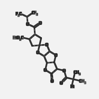 CCOC(=O)C1CC2(CC1C(=O)OC(C(F)(F)F)C(F)(F)F)OC1OC3C(OC(=O)C(C)(C)CC)C(=O)OC3C1O2